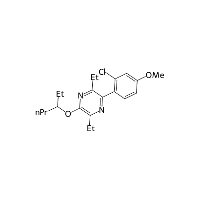 CCCC(CC)Oc1nc(CC)c(-c2ccc(OC)cc2Cl)nc1CC